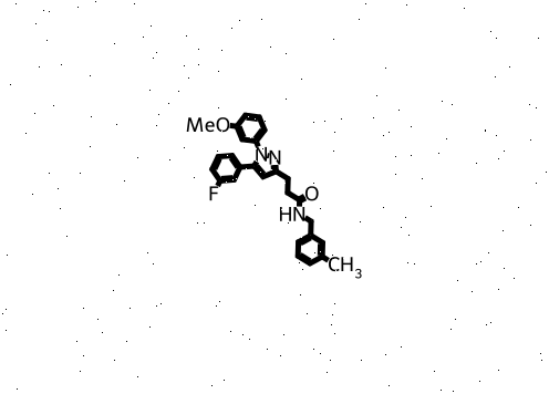 COc1cccc(-n2nc(CCC(=O)NCc3cccc(C)c3)cc2-c2cccc(F)c2)c1